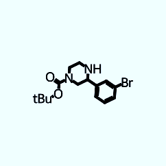 CC(C)(C)OC(=O)N1CCNC(c2cccc(Br)c2)C1